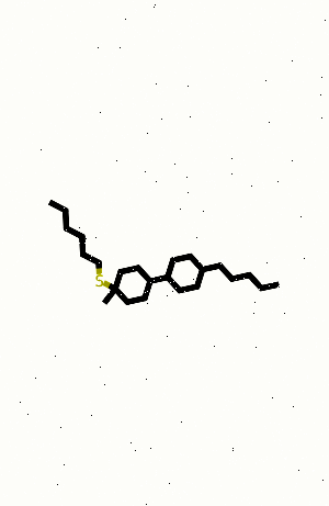 CCCCCCSC1(C)CCC(C2CCC(CCCCC)CC2)CC1